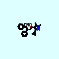 Cc1c(C(=O)C[C@H](c2ccccc2)[C@H](C#N)c2ccccc2)c(C2CC2)nn1C